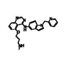 CNCCCOc1cccc2ncnc(Nc3ccc4c(ccn4Cc4ccccn4)c3)c12